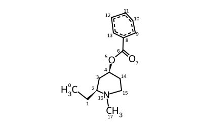 CC[C@H]1C[C@@H](OC(=O)c2ccccc2)CCN1C